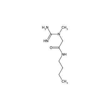 CCCCNC(=O)CN(C)C(=N)N